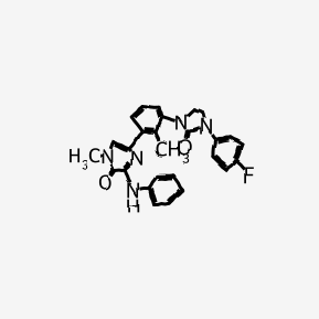 Cc1c(-c2cn(C)c(=O)c(Nc3ccccc3)n2)cccc1N1CCN(c2ccc(F)cc2)C1=O